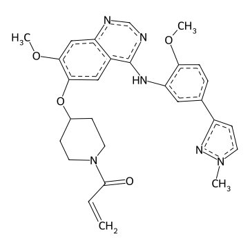 C=CC(=O)N1CCC(Oc2cc3c(Nc4cc(-c5ccn(C)n5)ccc4OC)ncnc3cc2OC)CC1